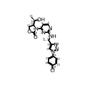 C[C@H](Nc1nccc(N2C(=O)OCC2[C@@H](C)O)n1)c1cn(-c2ccc(Cl)cc2)nn1